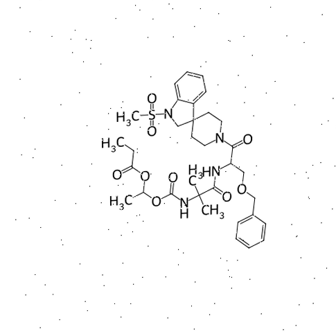 CCC(=O)OC(C)OC(=O)NC(C)(C)C(=O)NC(COCc1ccccc1)C(=O)N1CCC2(CC1)CN(S(C)(=O)=O)c1ccccc12